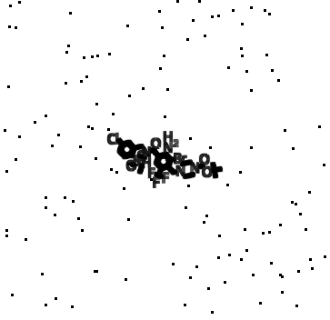 CCS(=O)(=O)c1ccc(Cl)cc1CNC(=O)c1cc(C(F)(F)F)c(CN2CCN(C(=O)OC(C)(C)C)CC2)c(Br)c1N